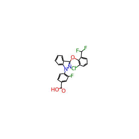 O=C(O)c1ccc(-n2nc(Oc3c(Cl)cccc3C(F)F)c3ccccc32)c(F)c1